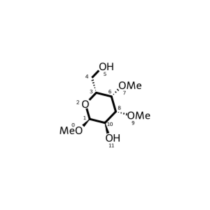 CO[C@H]1O[C@H](CO)[C@H](OC)[C@H](OC)[C@H]1O